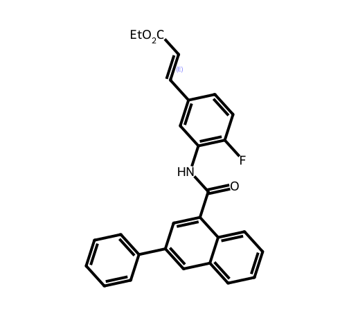 CCOC(=O)/C=C/c1ccc(F)c(NC(=O)c2cc(-c3ccccc3)cc3ccccc23)c1